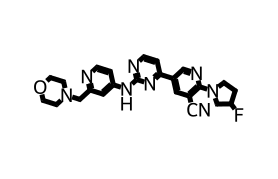 N#Cc1cc(-c2ccnc(Nc3ccnc(CN4CCOCC4)c3)n2)cnc1N1CCC(F)C1